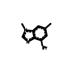 Cc1cc(C(C)C)c2ncn(C)c2c1